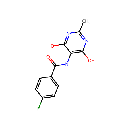 Cc1nc(O)c(NC(=O)c2ccc(F)cc2)c(O)n1